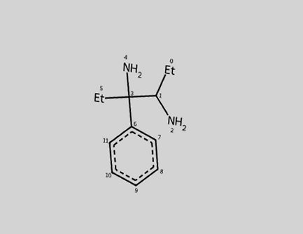 CCC(N)C(N)(CC)c1ccccc1